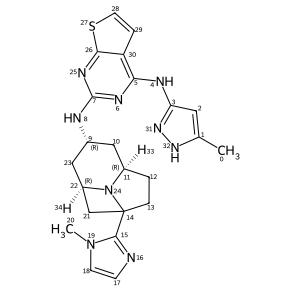 Cc1cc(Nc2nc(N[C@@H]3C[C@H]4CCC5(c6nccn6C)C[C@@H](C3)N45)nc3sccc23)n[nH]1